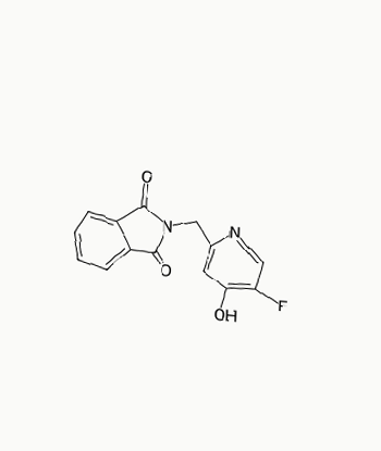 O=C1c2ccccc2C(=O)N1Cc1cc(O)c(F)cn1